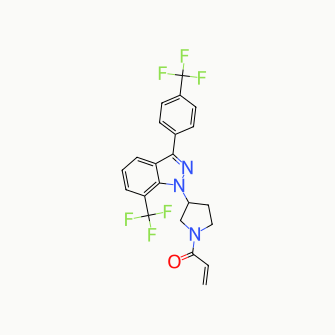 C=CC(=O)N1CCC(n2nc(-c3ccc(C(F)(F)F)cc3)c3cccc(C(F)(F)F)c32)C1